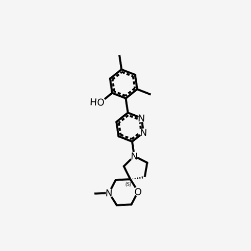 Cc1cc(C)c(-c2ccc(N3CC[C@]4(CN(C)CCO4)C3)nn2)c(O)c1